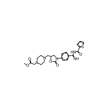 COC(=O)CN1CCN(CC2CN(c3ccc(C(=N)NC(=O)c4cccs4)cc3)C(=O)O2)CC1